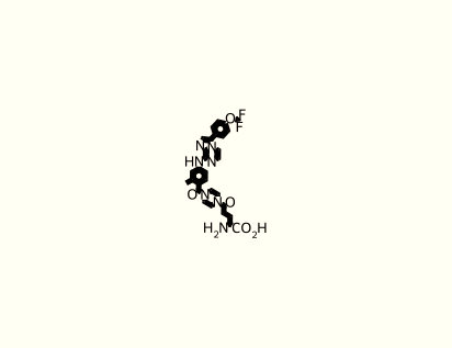 Cc1cc(Nc2nccn3c(-c4ccc(OC(F)F)cc4)cnc23)ccc1C(=O)N1CCN(C(=O)CCC(N)C(=O)O)CC1